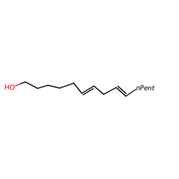 CCCCC/C=C/C/C=C/CCCCCO